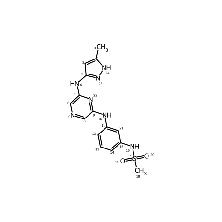 Cc1cc(Nc2cncc(Nc3cccc(NS(C)(=O)=O)c3)n2)n[nH]1